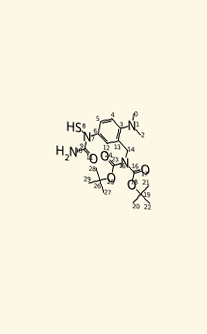 CN(C)c1ccc(N(S)C(N)=O)cc1CN(C(=O)OC(C)(C)C)C(=O)OC(C)(C)C